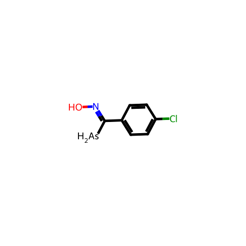 ON=C([AsH2])c1ccc(Cl)cc1